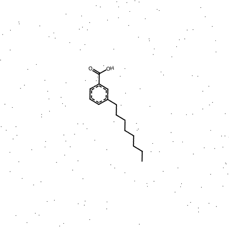 CCCCCCCCc1cccc(C(=O)O)c1